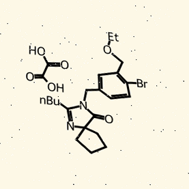 CCCCC1=NC2(CCCC2)C(=O)N1Cc1ccc(Br)c(COCC)c1.O=C(O)C(=O)O